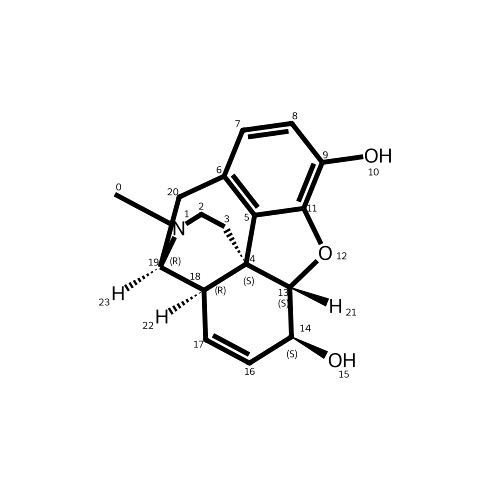 CN1CC[C@]23c4c5ccc(O)c4O[C@@H]2[C@@H](O)C=C[C@H]3[C@H]1C5